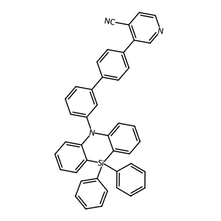 N#Cc1ccncc1-c1ccc(-c2cccc(N3c4ccccc4[Si](c4ccccc4)(c4ccccc4)c4ccccc43)c2)cc1